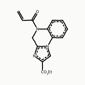 C=CC(=O)N1Cc2nc(C(=O)OCC)cn2-c2ccccc21